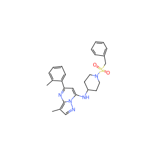 Cc1ccccc1-c1cc(NC2CCN(S(=O)(=O)Cc3ccccc3)CC2)n2ncc(C)c2n1